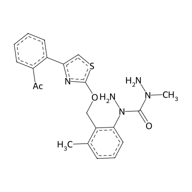 CC(=O)c1ccccc1-c1csc(OCc2c(C)cccc2N(N)C(=O)N(C)N)n1